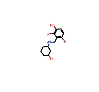 Oc1ccc(Br)c(CNC2CCCC(O)C2)c1Br